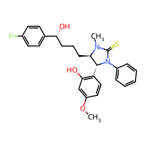 COc1ccc([C@@H]2[C@@H](CCC[C@@H](O)c3ccc(F)cc3)N(C)C(=S)N2c2ccccc2)c(O)c1